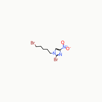 O=[N+]([O-])c1cn(CCCCCBr)c(Br)n1